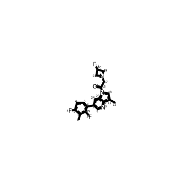 Cc1c(F)ccc(-c2cnc3c(C)cn(C(=O)CN4CC(F)C4)c3c2)c1F